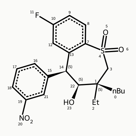 CCCC[C@]1(CC)CS(=O)(=O)c2ccc(F)cc2[C@H](c2cccc([N+](=O)[O-])c2)[C@@H]1O